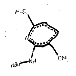 CCCCNc1nc(C(F)(F)F)ccc1C#N